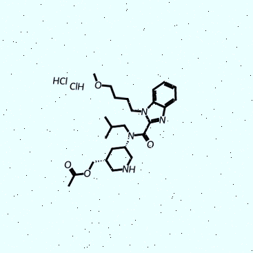 COCCCCn1c(C(=O)N(CC(C)C)[C@@H]2CNC[C@H](COC(C)=O)C2)nc2ccccc21.Cl.Cl